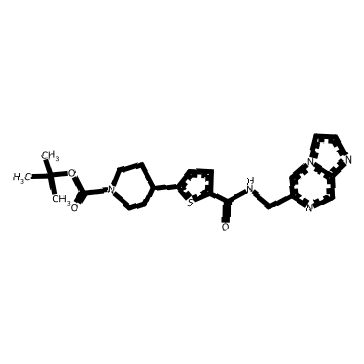 CC(C)(C)OC(=O)N1CCC(c2ccc(C(=O)NCc3cn4ccnc4cn3)s2)CC1